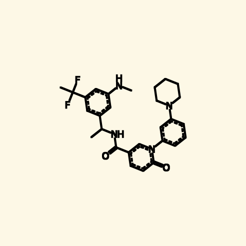 CNc1cc(C(C)NC(=O)c2ccc(=O)n(-c3cccc(N4CCCCC4)c3)c2)cc(C(C)(F)F)c1